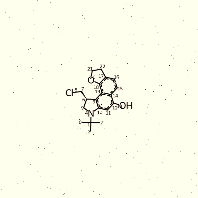 CC(C)(C)N1C[C@@H](CCl)c2c1cc(O)c1ccc3c(c21)OCC3